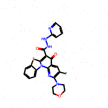 O=C(NNc1ccccn1)c1c(=O)c2cc(F)c(N3CCOCC3)nc2n2c1sc1ccccc12